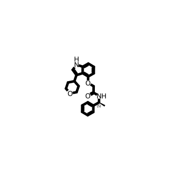 C[C@H](NC(=O)COc1cccc2[nH]cc(C3CCOCC3)c12)c1ccccc1